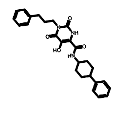 O=C(NC1CCC(c2ccccc2)CC1)c1[nH]c(=O)n(CCCc2ccccc2)c(=O)c1O